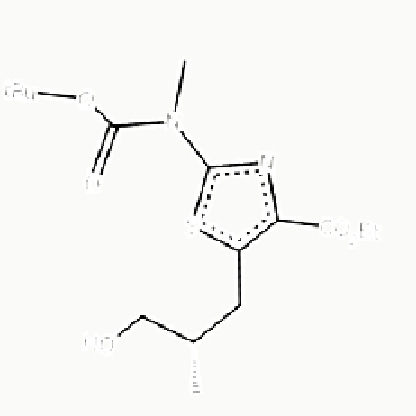 CCOC(=O)c1nc(N(C)C(=O)OC(C)(C)C)sc1C[C@H](C)CO